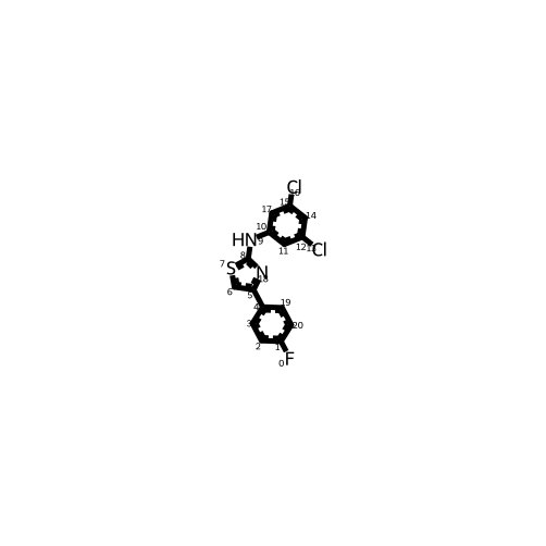 Fc1ccc(-c2csc(Nc3cc(Cl)cc(Cl)c3)n2)cc1